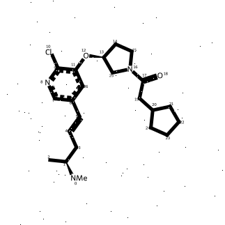 CN[C@@H](C)CC=Cc1cnc(Cl)c(O[C@H]2CCN(C(=O)CC3CCCC3)C2)c1